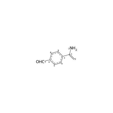 C=C(N)c1ccc(C=O)cc1